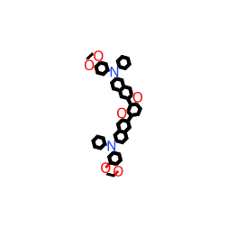 c1ccc(N(c2ccc3c(c2)OCCO3)c2ccc3cc4c(cc3c2)oc2c4ccc3oc4cc5cc(N(c6ccccc6)c6ccc7c(c6)OCCO7)ccc5cc4c32)cc1